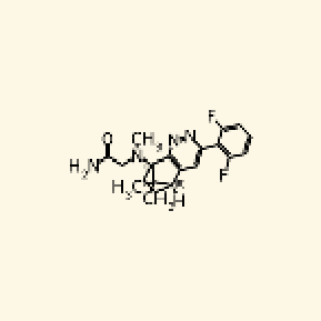 CN(CC(N)=O)[C@@]12CC[C@@H](c3cc(-c4c(F)cccc4F)nnc31)C2(C)C